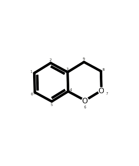 [c]1ccc2c(c1)OOCC2